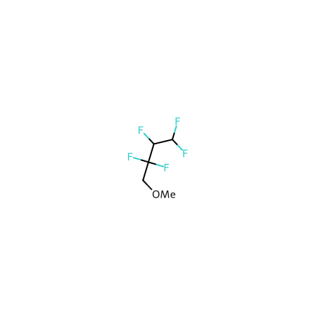 COCC(F)(F)C(F)C(F)F